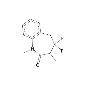 CN1C(=O)C(I)C(F)(F)Cc2ccccc21